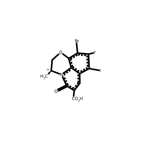 C[C@H]1COc2c(Br)c(F)c(I)c3cc(C(=O)O)c(=O)n1c23